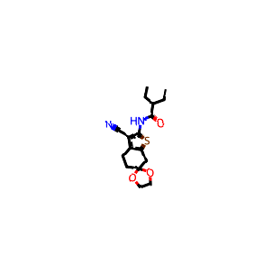 CCC(CC)C(=O)Nc1sc2c(c1C#N)CCC1(C2)OCCO1